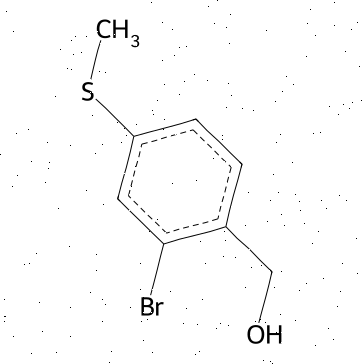 CSc1ccc(CO)c(Br)c1